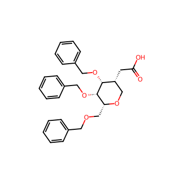 O=C(O)C[C@@H]1CO[C@H](COCc2ccccc2)[C@H](OCc2ccccc2)[C@@H]1OCc1ccccc1